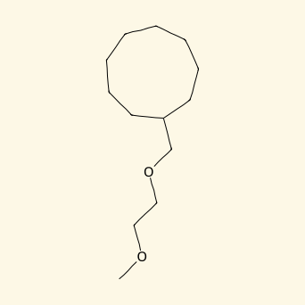 COCCOCC1CCCCCCCC1